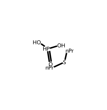 CCCSCCC.O=[PH](O)O